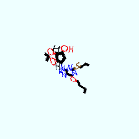 CCCCOc1nc(SCCC)nc2c1nnn2[C@@H]1C[C@H](O)[C@H]2OC(C)(C)O[C@H]21